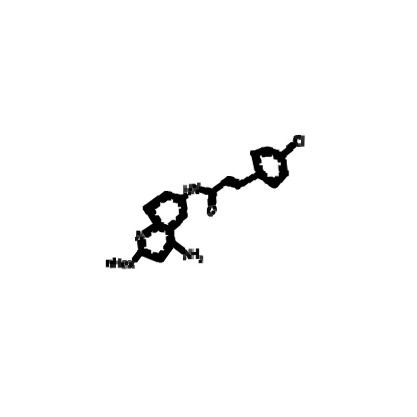 CCCCCCc1cc(N)c2cc(NC(=O)C=Cc3ccc(Cl)cc3)ccc2n1